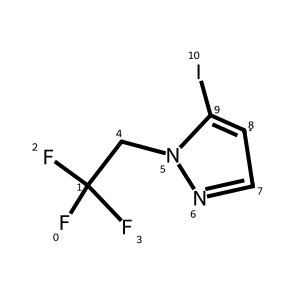 FC(F)(F)Cn1nc[c]c1I